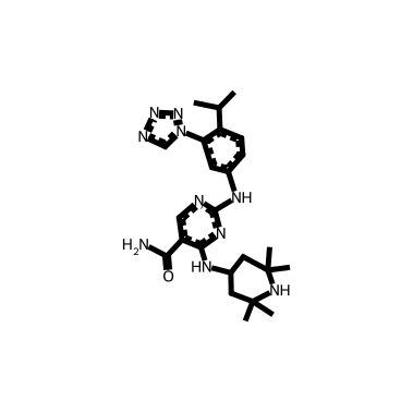 CC(C)c1ccc(Nc2ncc(C(N)=O)c(NC3CC(C)(C)NC(C)(C)C3)n2)cc1-n1cnnn1